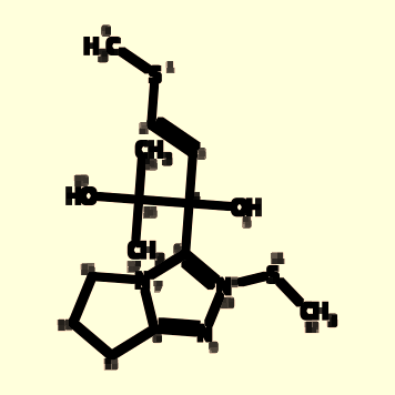 CS/C=C/C(O)(c1n2c(n[n+]1SC)CCC2)C(C)(C)O